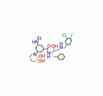 CCNc1cc(C(=O)N[C@@H](Cc2ccccc2)[C@@H](O)CNCc2ccc(F)c(Cl)c2)cc(N2CCCCS2(O)O)c1